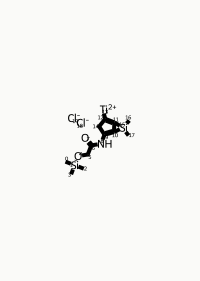 C[Si](C)(C)OCC(=O)NC1=C2C(=[C]([Ti+2])C1)[Si]2(C)C.[Cl-].[Cl-]